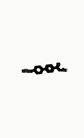 CCCCCCC1CCC(c2ccc(C(=O)CC(C)=O)cc2)CC1